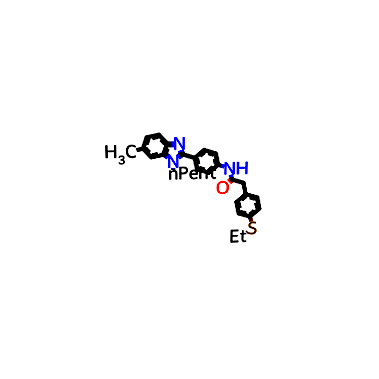 CCCCCn1c(-c2ccc(NC(=O)Cc3ccc(SCC)cc3)cc2)nc2ccc(C)cc21